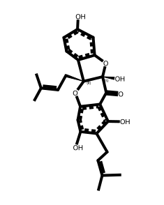 CC(C)=CCc1c(O)cc2c(c1O)C(=O)[C@@]1(O)Oc3cc(O)ccc3[C@@]1(CC=C(C)C)O2